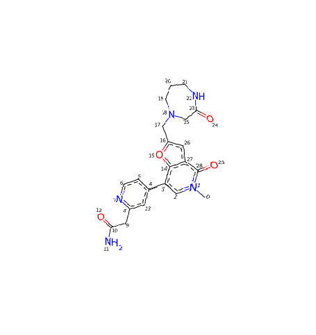 Cn1cc(-c2ccnc(CC(N)=O)c2)c2oc(CN3CCCNC(=O)C3)cc2c1=O